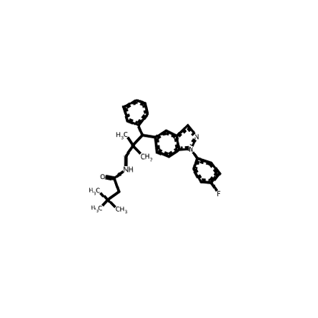 CC(C)(C)CC(=O)NCC(C)(C)C(c1ccccc1)c1ccc2c(cnn2-c2ccc(F)cc2)c1